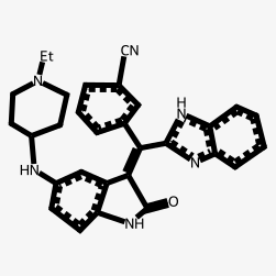 CCN1CCC(Nc2ccc3c(c2)/C(=C(\c2cccc(C#N)c2)c2nc4ccccc4[nH]2)C(=O)N3)CC1